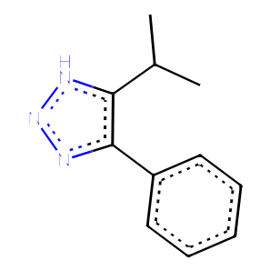 CC(C)c1[nH]nnc1-c1ccccc1